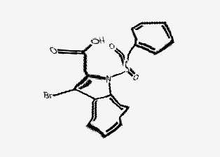 O=C(O)c1c(Br)c2ccccc2n1S(=O)(=O)c1ccccc1